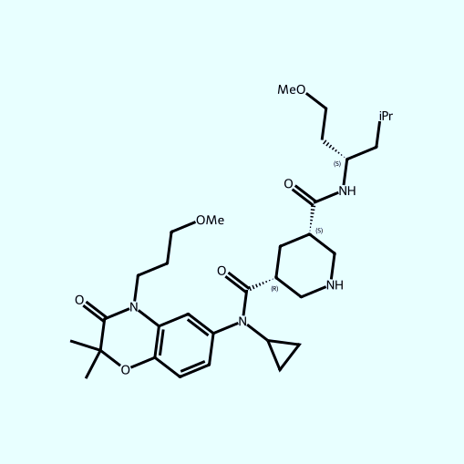 COCCCN1C(=O)C(C)(C)Oc2ccc(N(C(=O)[C@H]3CNC[C@@H](C(=O)N[C@H](CCOC)CC(C)C)C3)C3CC3)cc21